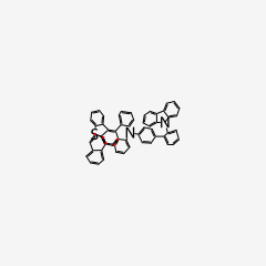 c1cc(-c2cccc3ccccc23)cc(N(c2ccc(-c3ccccc3-n3c4ccccc4c4ccccc43)cc2)c2ccccc2-c2cccc3sc4ccccc4c23)c1